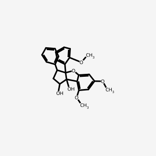 COc1cc(OC)c2c(c1)OC1(c3ccccc3OC)C(c3ccccc3)CC(O)C21O